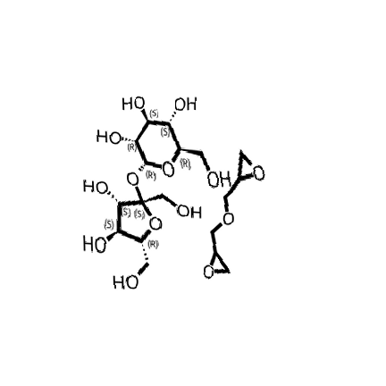 C(OCC1CO1)C1CO1.OC[C@H]1O[C@@](CO)(O[C@H]2O[C@H](CO)[C@@H](O)[C@H](O)[C@H]2O)[C@@H](O)[C@@H]1O